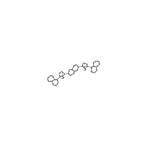 c1ccc2c(-c3ccc(-c4ccc5cc(-c6ccc(-c7cccc8ccccc78)s6)ccc5c4)s3)cccc2c1